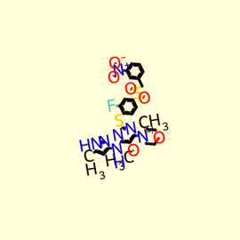 COc1c(Nc2cc(C)[nH]n2)nc(Sc2ccc(S(=O)(=O)Cc3cccc([N+](=O)[O-])c3)cc2F)nc1N1CCOC[C@@H]1C